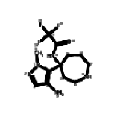 Cn1ncc(N)c1[C@]1(NC(=O)C(F)(F)F)CCCNCC1